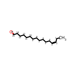 CC/C=C\CCCCCCCCCCCC=O